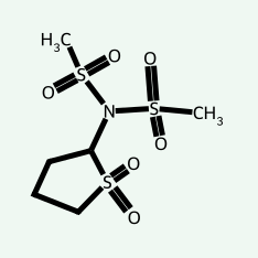 CS(=O)(=O)N(C1CCCS1(=O)=O)S(C)(=O)=O